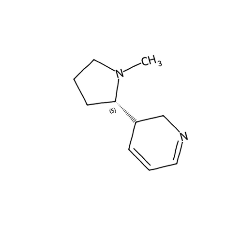 CN1CCC[C@H]1C1C=CC=NC1